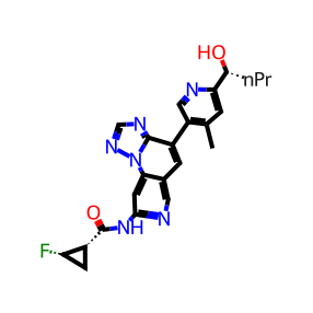 CCC[C@@H](O)c1cc(C)c(-c2cc3cnc(NC(=O)[C@@H]4C[C@@H]4F)cc3n3ncnc23)cn1